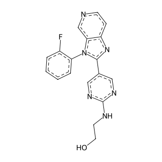 OCCNc1ncc(-c2nc3ccncc3n2-c2ccccc2F)cn1